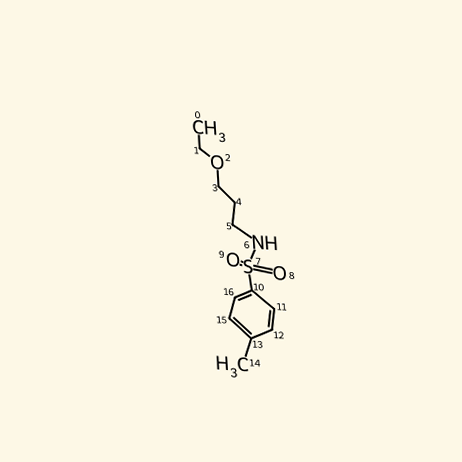 CCOCCCNS(=O)(=O)c1ccc(C)cc1